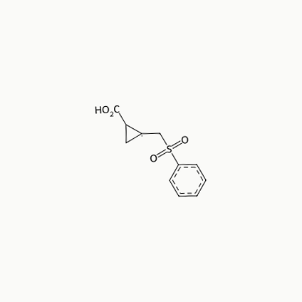 O=C(O)C1C[C]1CS(=O)(=O)c1ccccc1